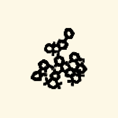 CC1(C)CCC(C)(C)c2cc3c(cc21)B1c2cc4c(cc2N(c2cccc5sc6ccccc6c25)c2cc(N5c6ccc(-c7ccccc7)cc6C6(C)CCCCC56C)cc(c21)N3c1cccc2c1sc1ccccc12)C(C)(C)CCC4(C)C